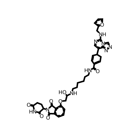 O=C1CCC(N2C(=O)c3cccc(OCC(O)NCCCCCCNC(=O)C4=CCC(c5cnc(NCc6ccco6)n6cnnc56)C=C4)c3C2=O)C(=O)N1